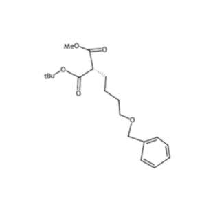 COC(=O)[C@H](CCCCOCc1ccccc1)C(=O)OC(C)(C)C